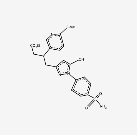 CCOC(=O)CC(Cc1cc(O)n(-c2ccc(S(N)(=O)=O)cc2)n1)c1ccc(OC)nc1